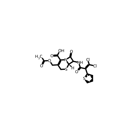 CC(=O)OCC1=C(C(=O)O)N2C(=O)C(NC(=O)C(=C(Cl)Cl)c3cccs3)[C@@H]2SC1